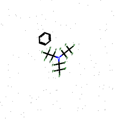 FC(F)(F)C(F)(F)N(C(F)(F)C(F)(F)F)C(F)(F)C(F)(F)F.c1ccccc1